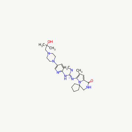 C=N/C(=N\c1c(C)cc2n1C1(CCCC1)CNC2=O)Nc1ccc(N2CCN(CC(C)(C)O)CC2)cn1